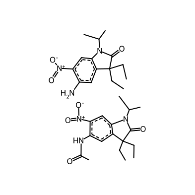 CCC1(CC)C(=O)N(C(C)C)c2cc([N+](=O)[O-])c(N)cc21.CCC1(CC)C(=O)N(C(C)C)c2cc([N+](=O)[O-])c(NC(C)=O)cc21